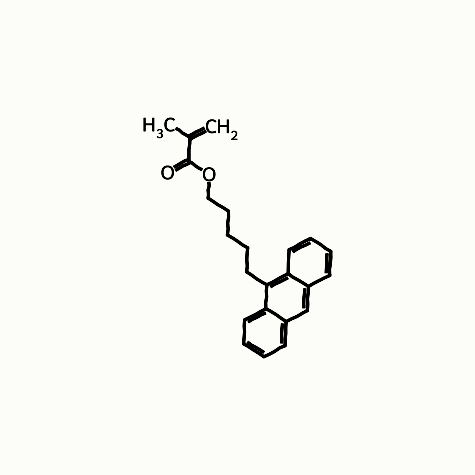 C=C(C)C(=O)OCCCCCc1c2ccccc2cc2ccccc12